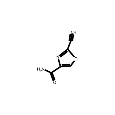 C#Cc1nc(C(N)=O)co1